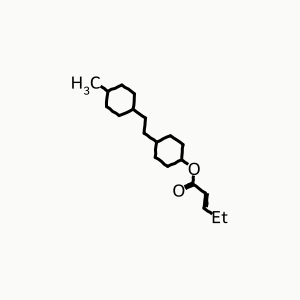 CCC=CC(=O)OC1CCC(CCC2CCC(C)CC2)CC1